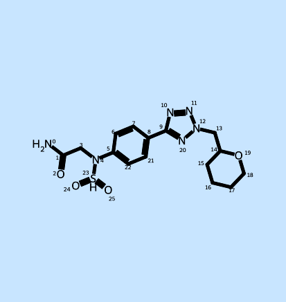 NC(=O)CN(c1ccc(-c2nnn(CC3CCCCO3)n2)cc1)[SH](=O)=O